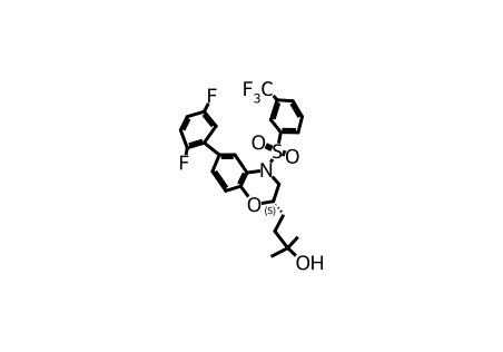 CC(C)(O)CC[C@H]1CN(S(=O)(=O)c2cccc(C(F)(F)F)c2)c2cc(-c3cc(F)ccc3F)ccc2O1